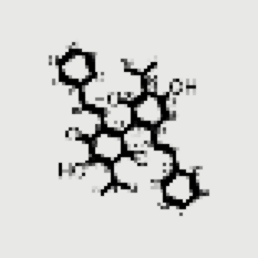 CC(C)C1=C(O)C(=O)C(/C=C/c2ccccc2)=C(c2c(/C=C/c3ccccc3)cc(O)c(C(C)C)c2O)C1=O